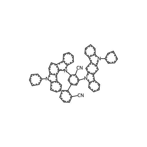 N#Cc1ccccc1-c1cc(-n2c3ccccc3c3cc4c(cc32)c2ccccc2n4-c2ccccc2)c(C#N)c(-n2c3ccccc3c3ccc4c(c5ccccc5n4-c4ccccc4)c32)c1